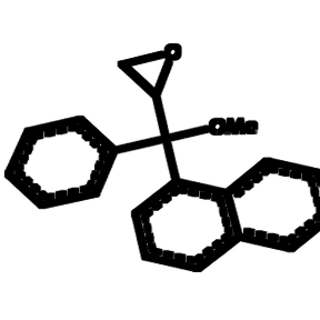 COC(c1ccccc1)(c1cccc2ccccc12)C1CO1